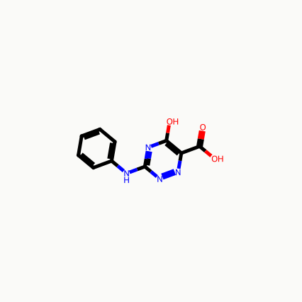 O=C(O)c1nnc(Nc2ccccc2)nc1O